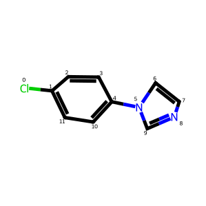 Clc1ccc(-n2[c]cnc2)cc1